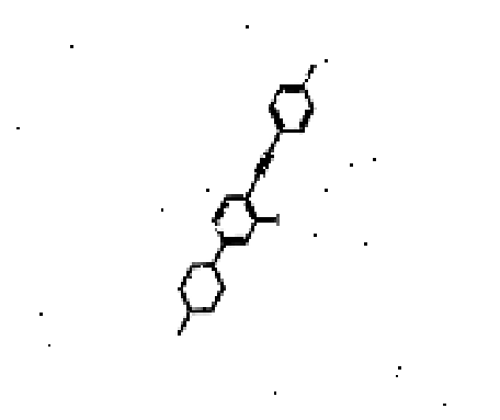 Cc1ccc(C#Cc2ccc(C3CCC(C)CC3)cc2I)cc1